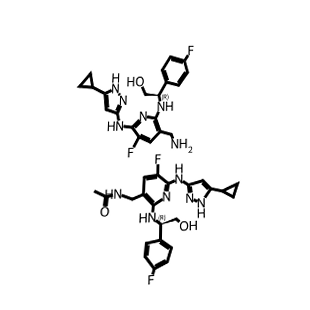 CC(=O)NCc1cc(F)c(Nc2cc(C3CC3)[nH]n2)nc1N[C@@H](CO)c1ccc(F)cc1.NCc1cc(F)c(Nc2cc(C3CC3)[nH]n2)nc1N[C@@H](CO)c1ccc(F)cc1